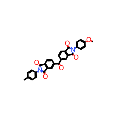 COc1ccc(N2C(=O)c3ccc(C(=O)c4ccc5c(c4)C(=O)N(c4ccc(C)cc4)C5=O)cc3C2=O)cc1